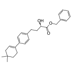 CC1(C)CC=C(c2ccc(CC[C@@H](O)C(=O)OCc3ccccc3)cc2)CC1